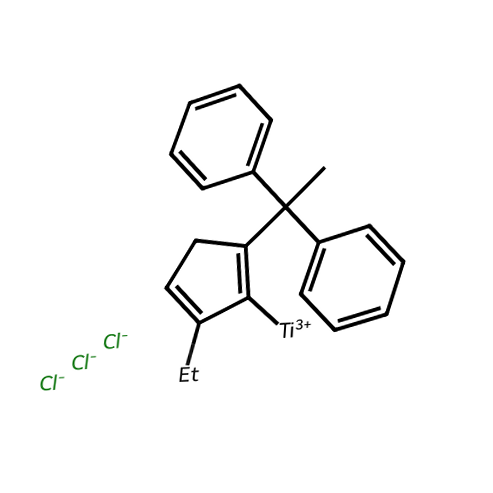 CCC1=CCC(C(C)(c2ccccc2)c2ccccc2)=[C]1[Ti+3].[Cl-].[Cl-].[Cl-]